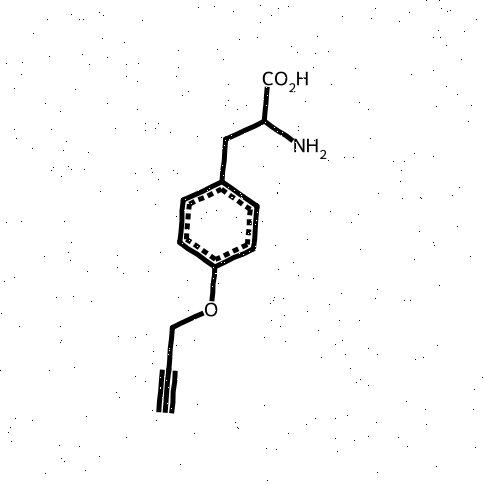 C#CCOc1ccc(CC(N)C(=O)O)cc1